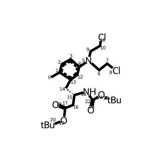 Cc1ccc(N(CCCl)CCCl)cc1C[C@@H](CC(=O)OC(C)(C)C)NC(=O)OC(C)(C)C